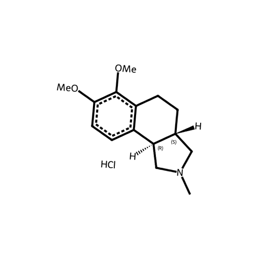 COc1ccc2c(c1OC)CC[C@@H]1CN(C)C[C@@H]21.Cl